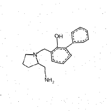 NCC1CCCN1Cc1cccc(-c2ccccc2)c1O